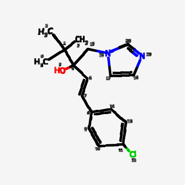 CC(C)(C)C(O)(C=Cc1ccc(Cl)cc1)Cn1ccnc1